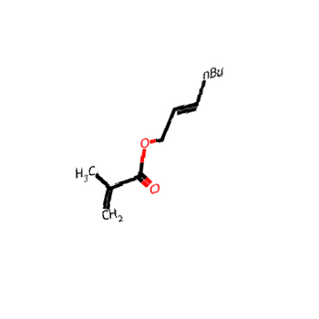 C=C(C)C(=O)OCC=CCCCC